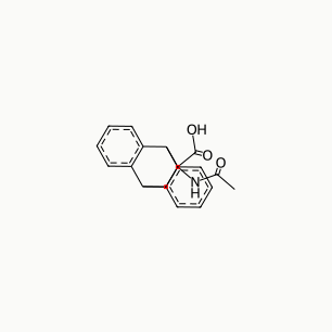 CC(=O)NC1(C(=O)O)CC2c3ccccc3C1c1ccccc12